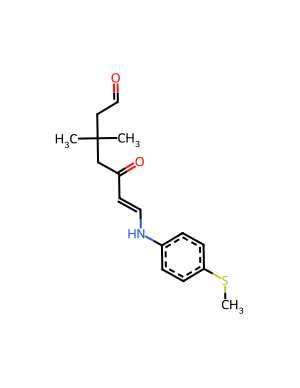 CSc1ccc(N/C=C/C(=O)CC(C)(C)CC=O)cc1